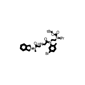 Cc1ccc(Br)cc1N(CCN(C(=O)OC(C)(C)C)C(C)C)C(=O)CNCC(=O)N(C)N1Cc2ccccc2C1